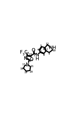 O=C(Nc1ccc2c(c1)CCNC2)c1oc(N2CCCCC2)nc1C(F)(F)F